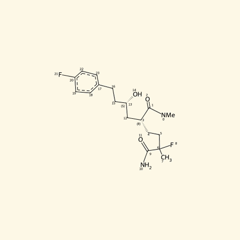 CNC(=O)[C@H](CCC(C)(F)C(N)=O)C[C@@H](O)[CH]Cc1ccc(F)cc1